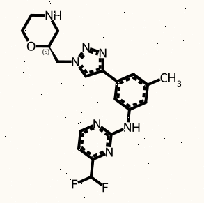 Cc1cc(Nc2nccc(C(F)F)n2)cc(-c2cn(C[C@@H]3CNCCO3)nn2)c1